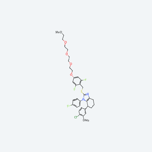 COCCOCCOCCOCCOc1cc(F)c(CSc2nc3c(n2-c2ccc(F)cc2)C(c2ccc(Cl)c(OC)c2)CCC3)c(F)c1